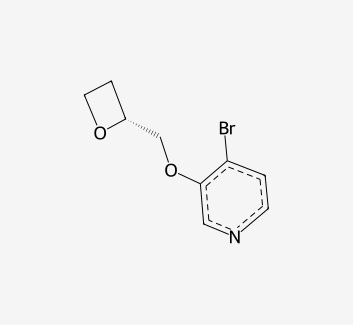 Brc1ccncc1OC[C@H]1CCO1